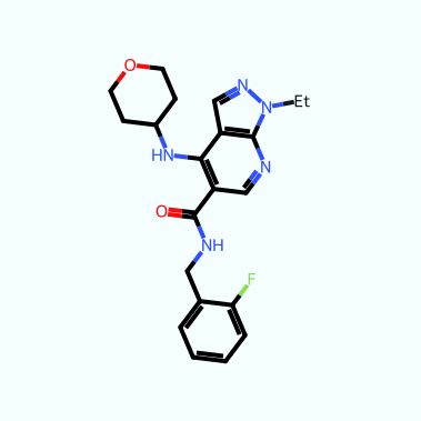 CCn1ncc2c(NC3CCOCC3)c(C(=O)NCc3ccccc3F)cnc21